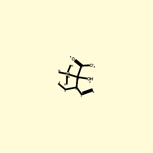 C=CC(CC)C(O)(C(=O)[O-])[N+](C)(C)C